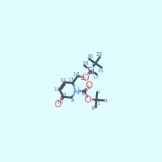 CC(C)(C)OC(=O)N1CC(=O)C=CC1CO[Si](C)(C)C(C)(C)C